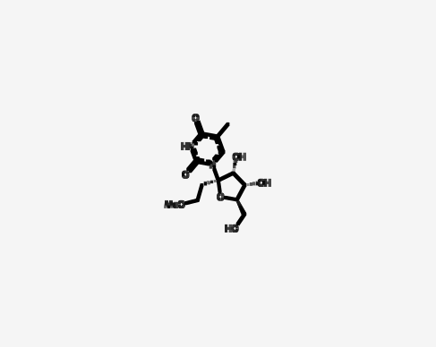 COCC[C@@]1(n2cc(C)c(=O)[nH]c2=O)O[C@H](CO)[C@@H](O)[C@H]1O